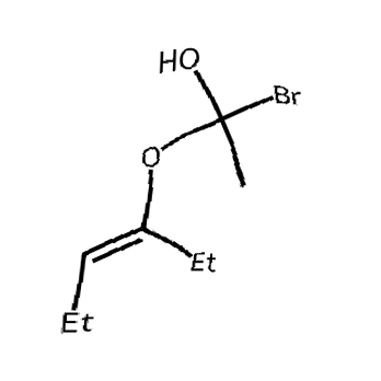 CC/C=C(\CC)OC(C)(O)Br